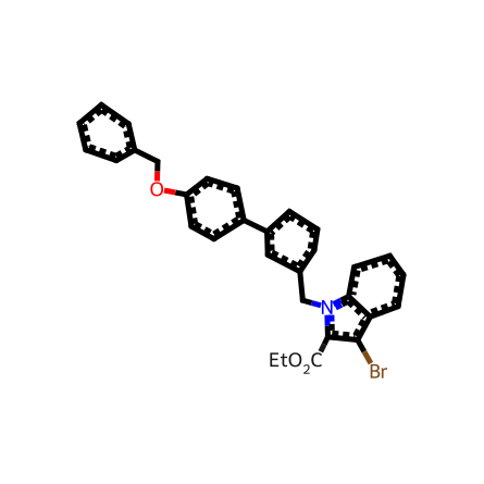 CCOC(=O)c1c(Br)c2ccccc2n1Cc1cccc(-c2ccc(OCc3ccccc3)cc2)c1